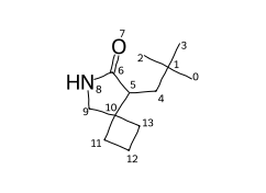 CC(C)(C)CC1C(=O)NCC12CCC2